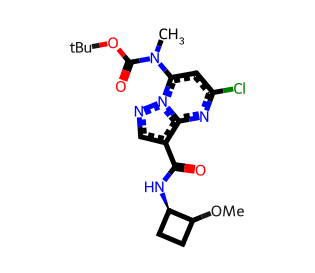 COC1CC[C@H]1NC(=O)c1cnn2c(N(C)C(=O)OC(C)(C)C)cc(Cl)nc12